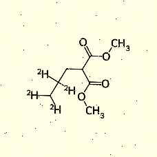 [2H]C([2H])C([2H])([2H])CC(C(=O)OC)C(=O)OC